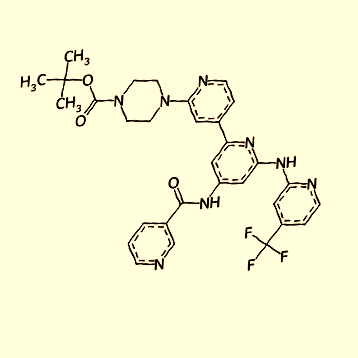 CC(C)(C)OC(=O)N1CCN(c2cc(-c3cc(NC(=O)c4cccnc4)cc(Nc4cc(C(F)(F)F)ccn4)n3)ccn2)CC1